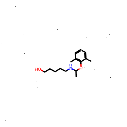 Cc1cccc(C)c1OC(C)NCCCCCO